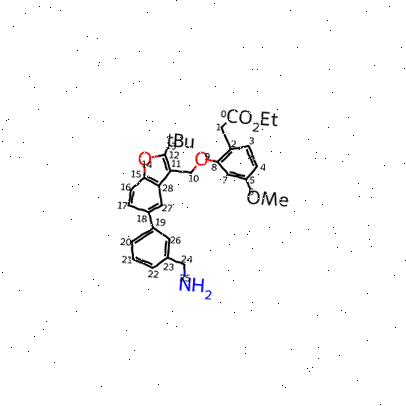 CCOC(=O)Cc1ccc(OC)cc1OCc1c(C(C)(C)C)oc2ccc(-c3cccc(CN)c3)cc12